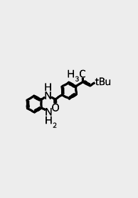 C/C(=C\C(C)(C)C)c1ccc(C(=O)Nc2ccccc2N)cc1